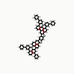 c1ccc(-c2ccc(N(c3ccc4cc5c(cc4c3)oc3cc4oc6cc7cc(N(c8ccc(-c9ccccc9)cc8-c8ccccc8)c8ccc(-c9ccccc9)cc8-c8ccccc8)ccc7cc6c4cc35)c3ccc(-c4ccccc4)cc3-c3ccccc3)c(-c3ccccc3)c2)cc1